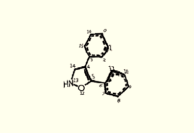 c1ccc(C2=C(c3ccccc3)ONC2)cc1